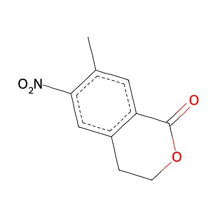 Cc1cc2c(cc1[N+](=O)[O-])CCOC2=O